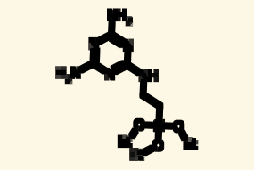 CCO[Si](CCNc1nc(N)nc(N)n1)(OCC)OCC